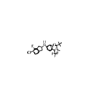 CN(C(=O)C(C)(C)C)[C@@H](c1ccc(NC2Cc3ccc(Cl)c(F)c3C2)cn1)C(F)(F)F